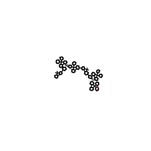 CC1(C)c2ccccc2-c2ccc(-c3ccc(N(c4ccc(C5(c6ccccc6)c6ccccc6-c6cc(-c7ccc8c(c7)-c7ccc(-c9ccc(N(c%10ccc%11c(c%10)C(c%10ccccc%10)(c%10ccccc%10)c%10ccccc%10-%11)c%10cccc%11c%10-c%10ccccc%10C%11(c%10ccccc%10)c%10ccccc%10)cc9)cc7C8(C)C)ccc65)cc4)c4cccc5c4-c4ccccc4C5(c4ccccc4)c4ccccc4)cc3)cc21